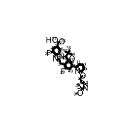 COc1nnc(COc2cccc(-c3ccc(Cc4nc5c(F)cc(C(=O)O)cc5n4[C@@H]4COCC4(C)C)c(F)c3)n2)s1